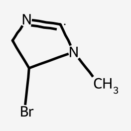 CN1[C]=NCC1Br